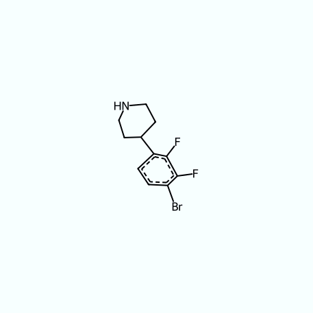 Fc1c(Br)ccc(C2CCNCC2)c1F